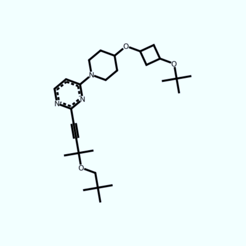 CC(C)(C)COC(C)(C)C#Cc1nccc(N2CCC(OC3CC(OC(C)(C)C)C3)CC2)n1